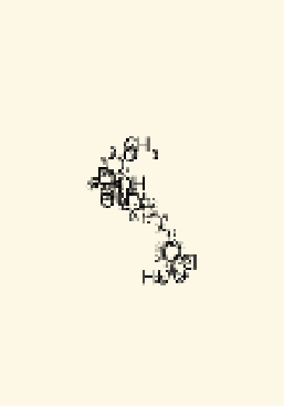 COc1cccc([C@@](O)(C(=O)N2CCC3(CC2)CC(CCCc2ccc(C(=O)O)c(Cl)c2)C3)C(F)(F)F)c1